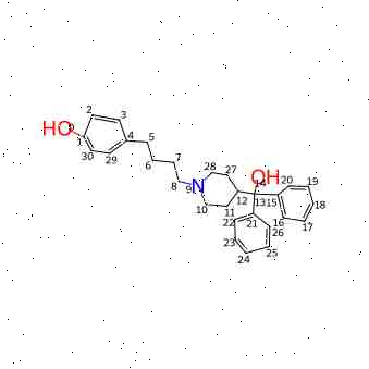 Oc1ccc(CCCCN2CCC(C(O)(c3ccccc3)c3ccccc3)CC2)cc1